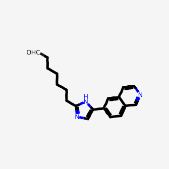 O=CCCCCCCc1ncc(-c2ccc3cnccc3c2)[nH]1